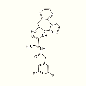 C[C@H](NC(=O)Cc1cc(F)cc(F)c1)C(=O)NC1c2ccccc2-c2ccccc2CC1O